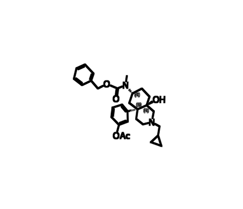 CC(=O)Oc1cccc([C@@]23CCN(CC4CC4)C[C@@]2(O)CC[C@@H](N(C)C(=O)OCc2ccccc2)C3)c1